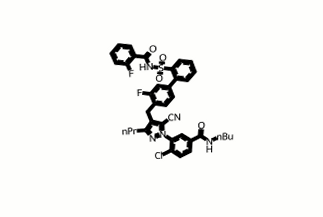 CCCCNC(=O)c1ccc(Cl)c(-n2nc(CCC)c(Cc3ccc(-c4ccccc4S(=O)(=O)NC(=O)c4ccccc4F)cc3F)c2C#N)c1